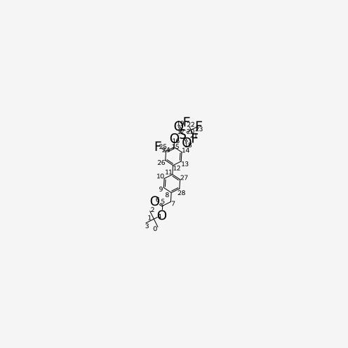 CC(C)(C)OC(=O)Cc1ccc(-c2ccc(OS(=O)(=O)C(F)(F)F)c(F)c2)cc1